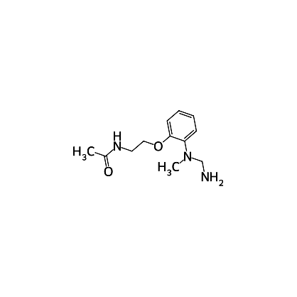 CC(=O)NCCOc1ccccc1N(C)CN